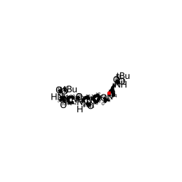 CC(CN1CC2C(CNC(=O)OC(C)(C)C)C2C1)Oc1ccc(-n2ccc(NC(=O)N3CCN(C(=O)C(C)(C)NC(=O)OC(C)(C)C)CC3)nc2=O)cc1